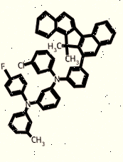 Cc1cccc(N(c2ccc(F)cc2)c2cccc(N(c3cccc(Cl)c3)c3cccc(-c4cc5ccccc5c5c4C(C)(C)c4c-5ccc5ccccc45)c3)c2)c1